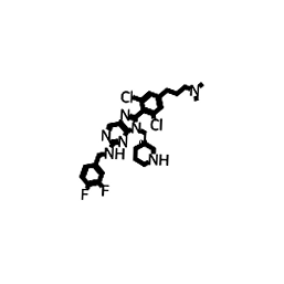 CN(C)CCCc1cc(Cl)c(-c2nc3cnc(NCc4ccc(F)c(F)c4)nc3n2C[C@@H]2CCCNC2)c(Cl)c1